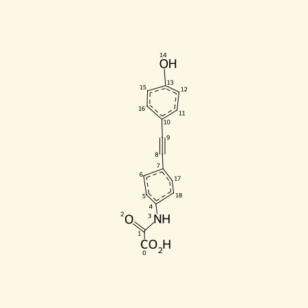 O=C(O)C(=O)Nc1ccc(C#Cc2ccc(O)cc2)cc1